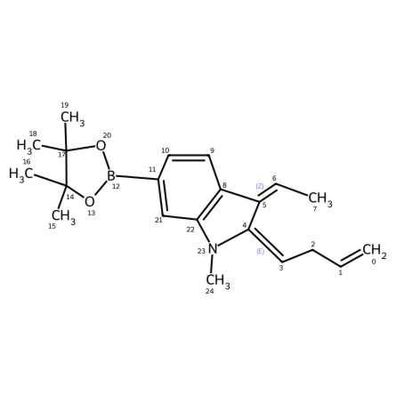 C=CC/C=c1\c(=C/C)c2ccc(B3OC(C)(C)C(C)(C)O3)cc2n1C